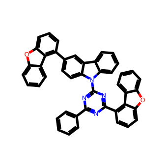 c1ccc(-c2nc(-c3cccc4oc5ccccc5c34)nc(-n3c4ccccc4c4cc(-c5cccc6oc7ccccc7c56)ccc43)n2)cc1